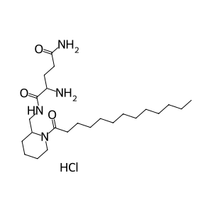 CCCCCCCCCCCCC(=O)N1CCCCC1CNC(=O)C(N)CCC(N)=O.Cl